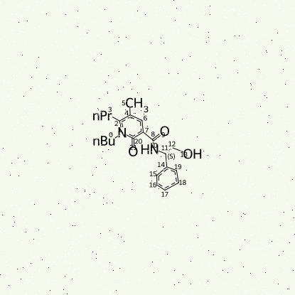 CCCCn1c(CCC)c(C)cc(C(=O)N[C@H](CO)c2ccccc2)c1=O